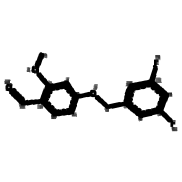 COc1cc(OCc2cc(F)cc(F)c2)ccc1C=O